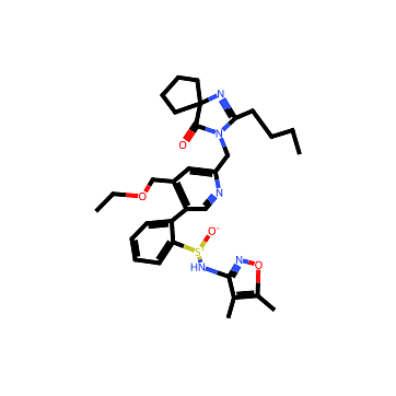 CCCCC1=NC2(CCCC2)C(=O)N1Cc1cc(COCC)c(-c2ccccc2[S+]([O-])Nc2noc(C)c2C)cn1